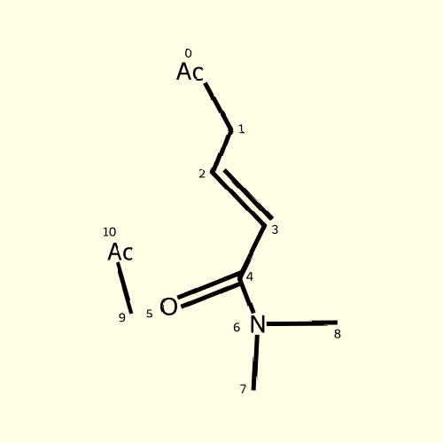 CC(=O)CC=CC(=O)N(C)C.CC(C)=O